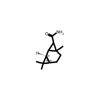 CC12CC[C@@H]3[C@H](C1C2C(N)=O)C3(C)C